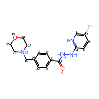 O=C(NNc1ccc(F)cn1)c1ccc(CN2CCOCC2)cc1